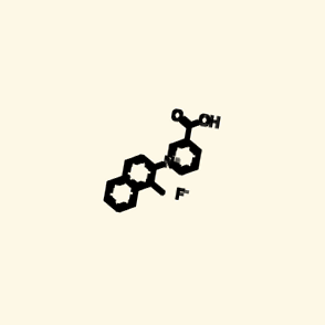 Cc1c(-[n+]2cccc(C(=O)O)c2)ccc2ccccc12.[F-]